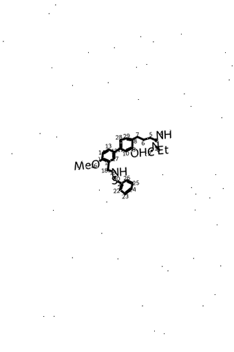 CCN(C=O)C(=N)CCCc1ccc(-c2ccc(OC)c(CNSc3ccccc3)c2)cc1